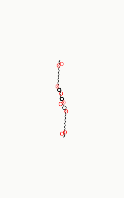 C=CC(=O)OCCCCCCCCCCCOc1ccc(OCc2ccc(OC(=O)C3CCC(OCCCCCCCCCCCOC(=O)C=C)CC3)cc2)cc1